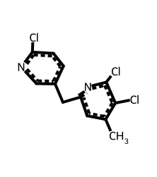 Cc1cc(Cc2ccc(Cl)nc2)nc(Cl)c1Cl